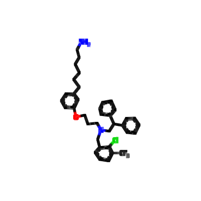 NCCCCCCc1cccc(OCCCN(Cc2cccc(C(F)(F)F)c2Cl)CC(c2ccccc2)c2ccccc2)c1